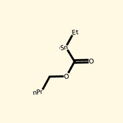 CCCCO[C](=O)[Sn][CH2]C